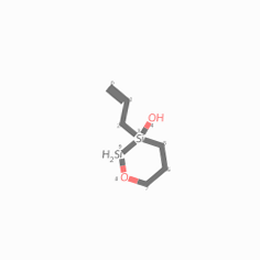 C=CC[Si]1(O)CCCO[SiH2]1